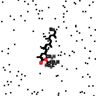 CCC(C)CC(C)CC(C)CC(C)C=C(C)C=C(CC(C)C(=O)OC(C(=O)O)C(=O)O)C(=O)O